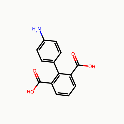 Nc1ccc(-c2c(C(=O)O)cccc2C(=O)O)cc1